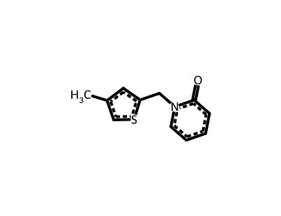 Cc1csc(Cn2ccccc2=O)c1